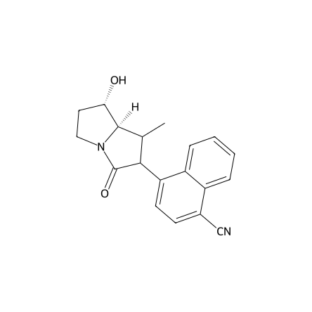 CC1C(c2ccc(C#N)c3ccccc23)C(=O)N2CC[C@H](O)[C@@H]12